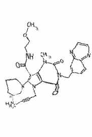 CC#CCn1c(N2CCC[C@@H](N)C2)c(C(=O)NCCOC)c2c1c(=O)n(Cc1ccc3nccnc3c1)c(=O)n2C